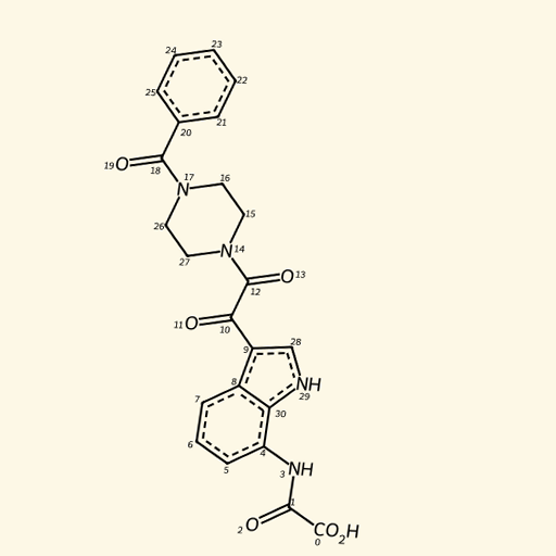 O=C(O)C(=O)Nc1cccc2c(C(=O)C(=O)N3CCN(C(=O)c4ccccc4)CC3)c[nH]c12